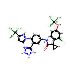 O=C(Nc1ccc(-n2ccc(C(F)(F)F)n2)c(-c2nnn[nH]2)c1)C1(c2ccc(OC(F)(F)F)cc2F)CC1